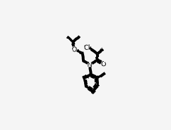 Cc1ccccc1N(CCOC(C)C)C(=O)C(C)Cl